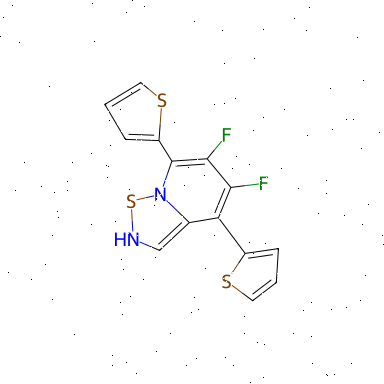 FC1=C(c2cccs2)C2=CNSN2C(c2cccs2)=C1F